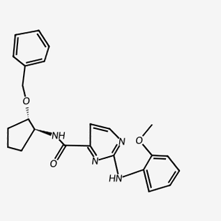 COc1ccccc1Nc1nccc(C(=O)N[C@H]2CCC[C@@H]2OCc2ccccc2)n1